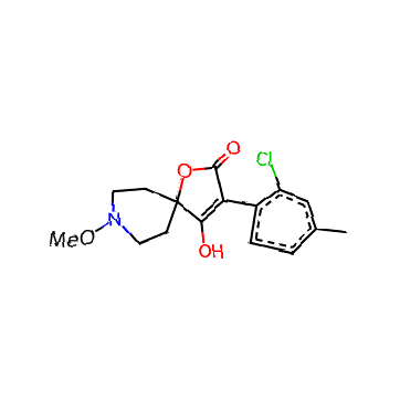 CON1CCC2(CC1)OC(=O)C(c1ccc(C)cc1Cl)=C2O